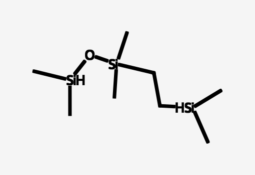 C[SiH](C)CC[Si](C)(C)O[SiH](C)C